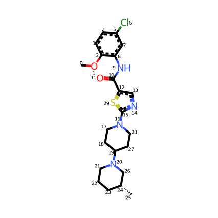 COc1ccc(Cl)cc1NC(=O)c1cnc(N2CCC(N3CCC[C@@H](C)C3)CC2)s1